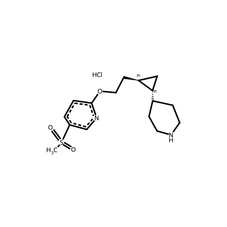 CS(=O)(=O)c1ccc(OCC[C@H]2C[C@@H]2C2CCNCC2)nc1.Cl